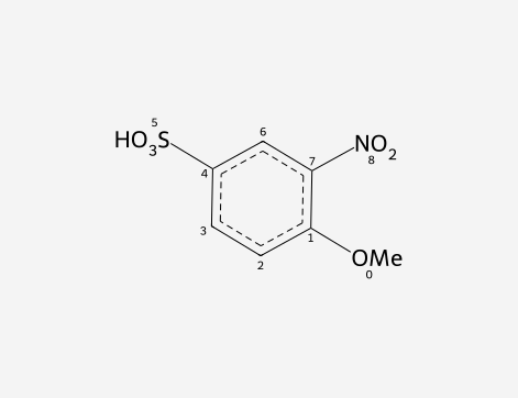 COc1ccc(S(=O)(=O)O)cc1[N+](=O)[O-]